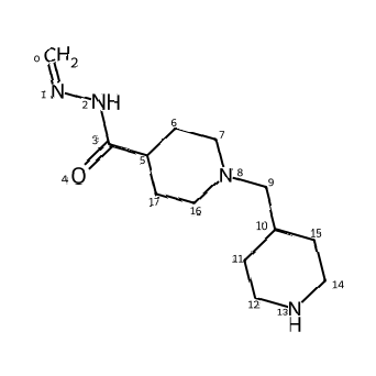 C=NNC(=O)C1CCN(CC2CCNCC2)CC1